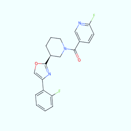 O=C(c1ccc(F)nc1)N1CCC[C@H](c2nc(-c3ccccc3F)co2)C1